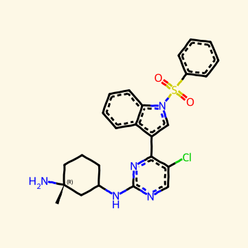 C[C@@]1(N)CCCC(Nc2ncc(Cl)c(-c3cn(S(=O)(=O)c4ccccc4)c4ccccc34)n2)C1